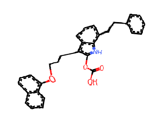 O=C(O)Oc1[nH]c2c(CCc3ccccc3)cccc2c1CCCOc1cccc2ccccc12